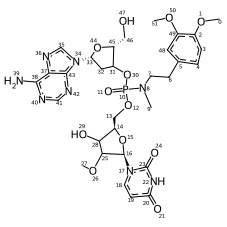 COc1ccc(CCN(C)P(=O)(OC[C@H]2O[C@@H](n3ccc(=O)[nH]c3=O)C(OC)C2O)OC2C[C@H](n3cnc4c(N)ncnc43)O[C@@H]2CO)cc1OC